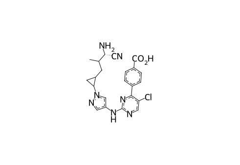 CC(CC1CC1n1cc(Nc2ncc(Cl)c(-c3ccc(C(=O)O)cc3)n2)cn1)[C@H](N)C#N